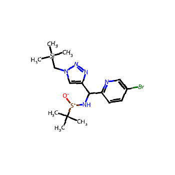 CC(C)(C)[S+]([O-])NC(c1ccc(Br)cn1)c1cn(C[Si](C)(C)C)nn1